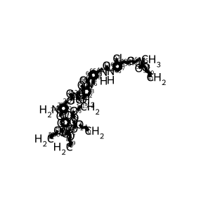 C=CCOC(=O)O[C@@H]1[C@@H](OC(=O)OCC=C)[C@H](Oc2ccc(COC(=O)N(C)CN3C(=O)CCC(N4Cc5cc(CNC(=O)Nc6ccc(CCOCCN(C)C(=O)OCC=C)c(Cl)c6)ccc5C4=O)C3=O)cc2N)O[C@H](C(=O)OCC=C)[C@H]1OC(=O)OCC=C